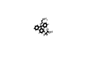 NCCSC(c1ccccc1)(c1ccccc1)c1ccccc1.O=C(O)C(F)(F)F